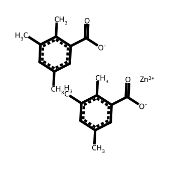 Cc1cc(C)c(C)c(C(=O)[O-])c1.Cc1cc(C)c(C)c(C(=O)[O-])c1.[Zn+2]